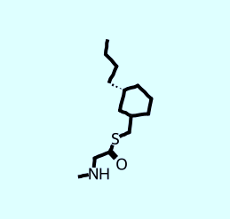 CCCC[C@@H]1CCCC(CSC(=O)CNC)C1